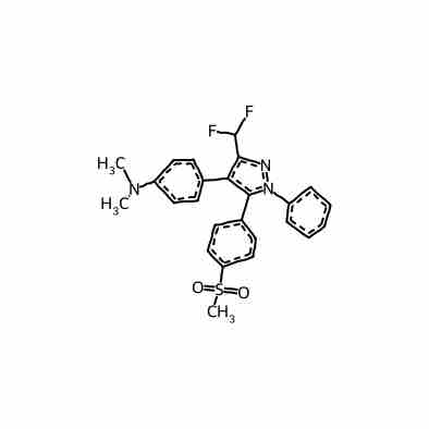 CN(C)c1ccc(-c2c(C(F)F)nn(-c3ccccc3)c2-c2ccc(S(C)(=O)=O)cc2)cc1